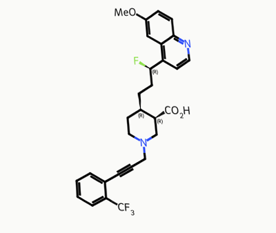 COc1ccc2nccc([C@H](F)CC[C@@H]3CCN(CC#Cc4ccccc4C(F)(F)F)C[C@@H]3C(=O)O)c2c1